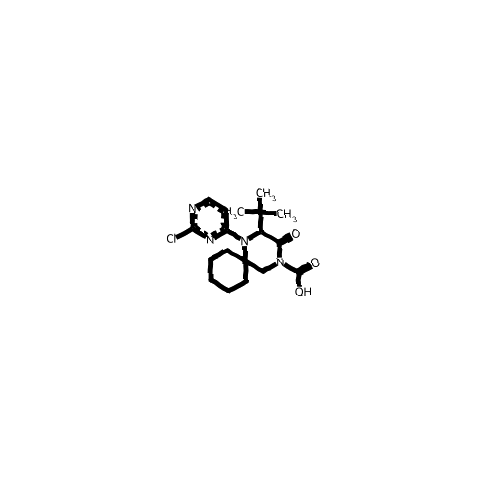 CC(C)(C)C1C(=O)N(C(=O)O)CC2(CCCCC2)N1c1ccnc(Cl)n1